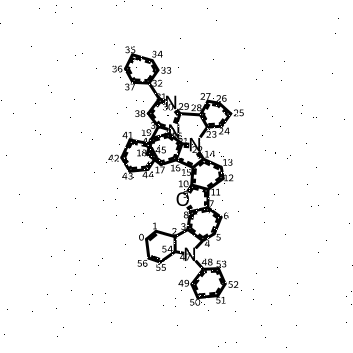 C1=CC2c3c(ccc4c3oc3c4ccc4c3c3ccccc3n4-c3ccccc3-c3nc(-c4ccccc4)cc(-c4ccccc4)n3)N(c3ccccc3)C2C=C1